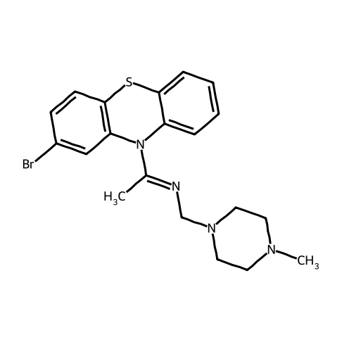 C/C(=N\CN1CCN(C)CC1)N1c2ccccc2Sc2ccc(Br)cc21